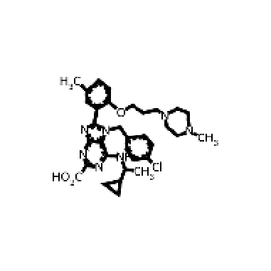 Cc1ccc(OCCCN2CCN(C)CC2)c(-c2nc3nc(C(=O)O)nc(NC(C)C4CC4)c3n2Cc2ccc(Cl)cc2)c1